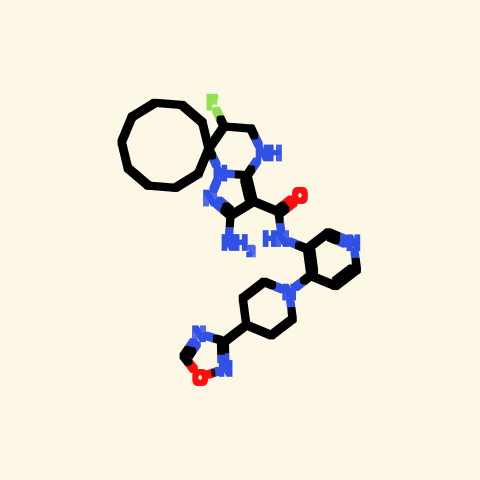 Nc1nn2c(c1C(=O)Nc1cnccc1N1CCC(c3ncon3)CC1)NCC(F)C21CCCCCCCCC1